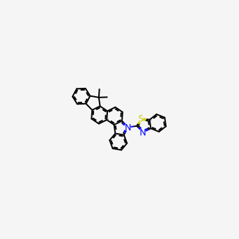 CC1(C)c2ccccc2-c2ccc3c(ccc4c3c3ccccc3n4-c3nc4ccccc4s3)c21